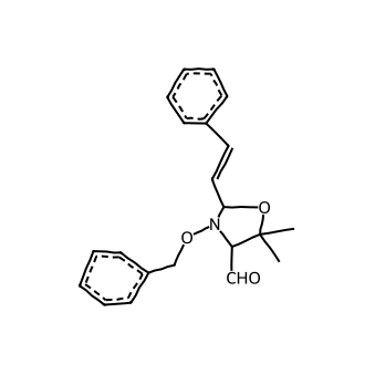 CC1(C)OC(C=Cc2ccccc2)N(OCc2ccccc2)C1C=O